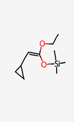 CCOC(=CC1CC1)O[Si](C)(C)C